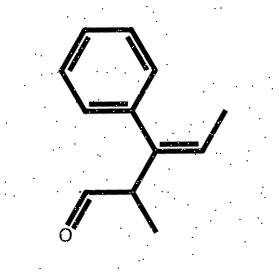 C/C=C(\c1ccccc1)C(C)[C]=O